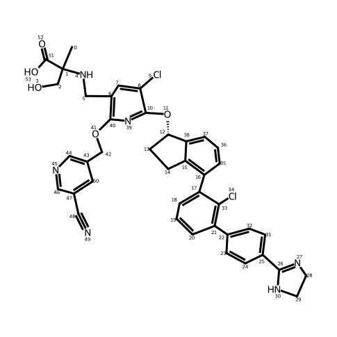 CC(CO)(NCc1cc(Cl)c(O[C@H]2CCc3c(-c4cccc(-c5ccc(C6=NCCN6)cc5)c4Cl)cccc32)nc1OCc1cncc(C#N)c1)C(=O)O